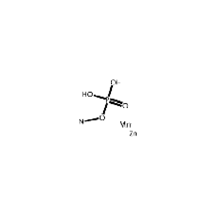 O=P(O)(O)[O][Ni].[Mn].[Zn]